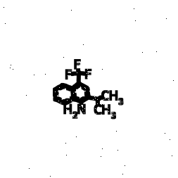 CC(C)c1cc(C(F)(F)F)c2ccccc2c1N